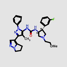 COCCN1C[C@@H](NC(=O)Nc2c(C)c(-c3cnn4c3CCC4)nn2-c2ccccc2)[C@H](c2cccc(F)c2)C1